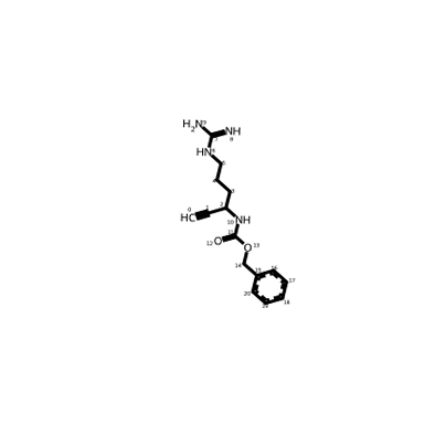 C#CC(CCCNC(=N)N)NC(=O)OCc1ccccc1